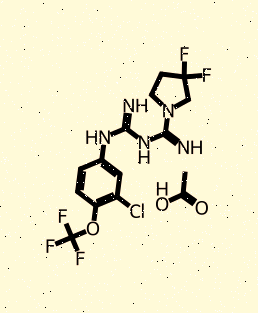 CC(=O)O.N=C(NC(=N)N1CCC(F)(F)C1)Nc1ccc(OC(F)(F)F)c(Cl)c1